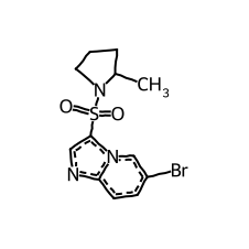 CC1CCCN1S(=O)(=O)c1cnc2ccc(Br)cn12